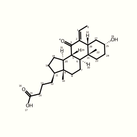 C/C=C1/C(=O)[C@@H]2[C@H](CC[C@]3(C)[C@@H](CCCC(=O)O)CC[C@@H]23)[C@@]2(C)CC[C@@H](O)C[C@@H]12